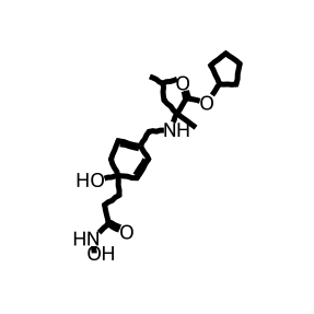 CC(C)CC(C)(NCC1=CCC(O)(CCC(=O)NO)C=C1)C(=O)OC1CCCC1